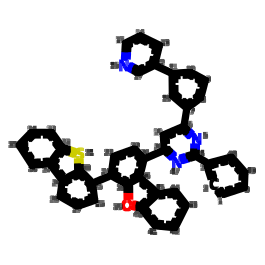 c1ccc(-c2nc(-c3cccc(-c4cccnc4)c3)cc(-c3ccc(-c4cccc5c4sc4ccccc45)c4oc5ccccc5c34)n2)cc1